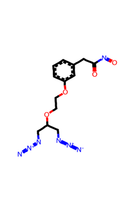 [N-]=[N+]=NCC(CN=[N+]=[N-])OCCOc1cccc(CC(=O)N=O)c1